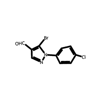 O=Cc1cnn(-c2ccc(Cl)cc2)c1Br